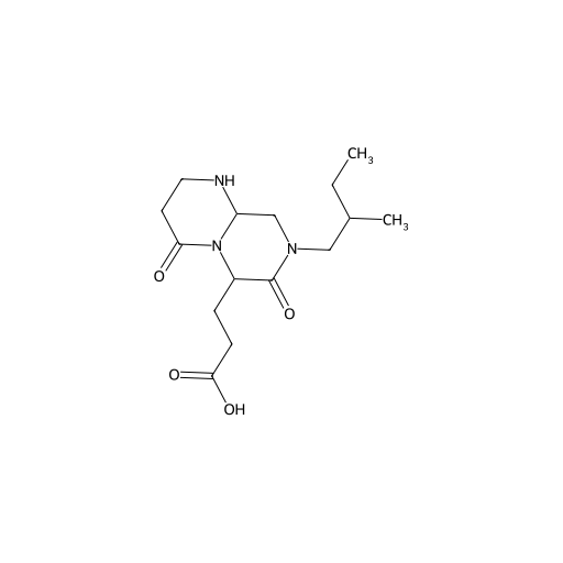 CCC(C)CN1CC2NCCC(=O)N2C(CCC(=O)O)C1=O